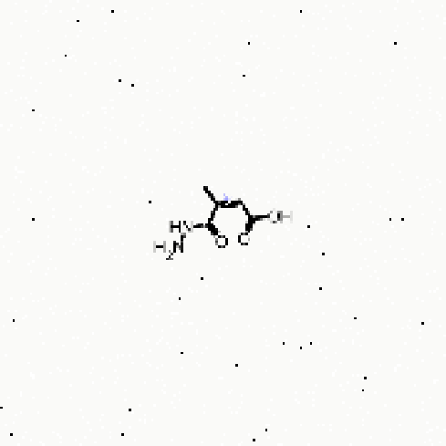 C/C(=C/C(=O)O)C(=O)NN